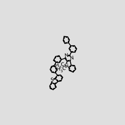 C[Si]1(C)c2ccccc2-c2nc(-c3cccc(-c4ccccc4)c3)nc(-c3cccc(-c4cccc(-c5cccc6c5sc5ccccc56)c4)c3)c21